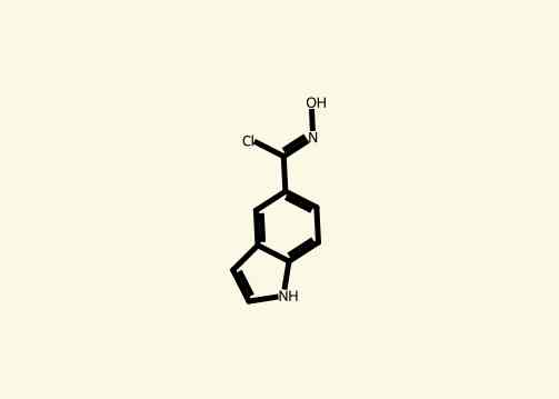 ON=C(Cl)c1ccc2[nH]ccc2c1